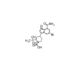 CC(C)(C)C1CC(c2c[nH]c3c(C(N)=O)cc(Br)cc23)CCN1C(=O)O